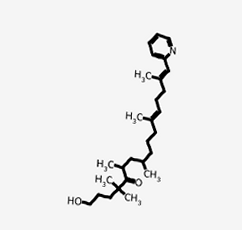 C/C(=C\c1ccccn1)CC/C=C(\C)CCCC(C)CC(C)C(=O)C(C)(C)CCCO